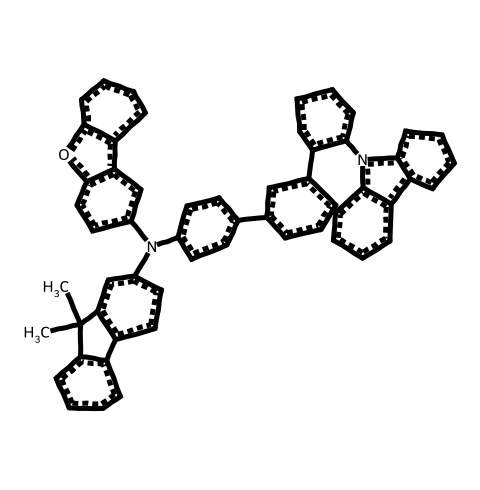 CC1(C)c2ccccc2-c2ccc(N(c3ccc(-c4cccc(-c5ccccc5-n5c6ccccc6c6ccccc65)c4)cc3)c3ccc4oc5ccccc5c4c3)cc21